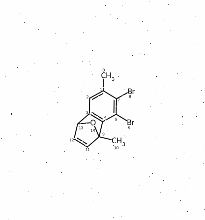 Cc1cc2c(c(Br)c1Br)C1(C)C=CC2O1